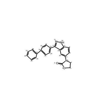 O=C1OCCN1c1ccc2[nH]nc(-c3ccc(-c4ccccc4)cc3)c2c1